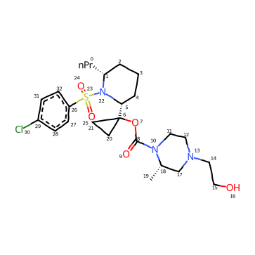 CCC[C@@H]1CCC[C@H](C2(OC(=O)N3CCN(CCO)C[C@@H]3C)CC2)N1S(=O)(=O)c1ccc(Cl)cc1